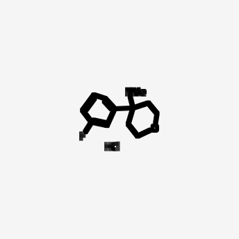 CNC1(c2cccc(F)c2)CCOCC1.Cl